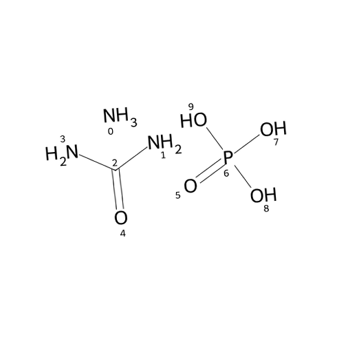 N.NC(N)=O.O=P(O)(O)O